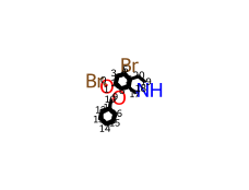 BrOc1cc(Br)c2c(c1OCc1ccccc1)CNCC2